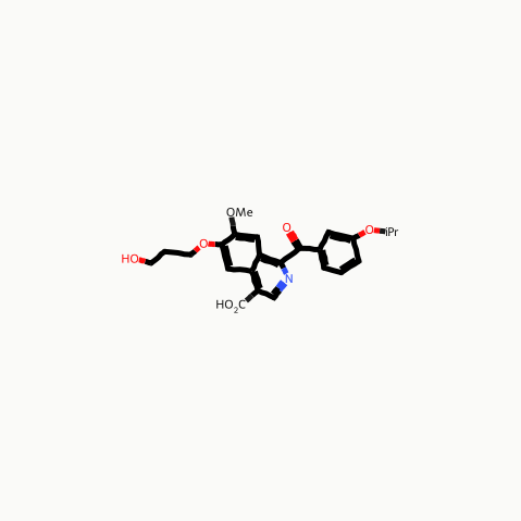 COc1cc2c(C(=O)c3cccc(OC(C)C)c3)ncc(C(=O)O)c2cc1OCCCO